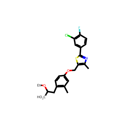 CCOC(Cc1ccc(OCc2sc(-c3ccc(F)c(Cl)c3)nc2C)cc1C)C(=O)O